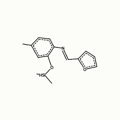 Cc1ccc(N=Cc2ccco2)c(O[SiH](C)C)c1